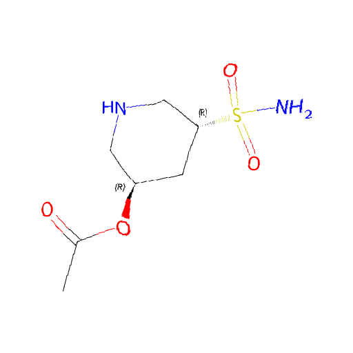 CC(=O)O[C@H]1CNC[C@H](S(N)(=O)=O)C1